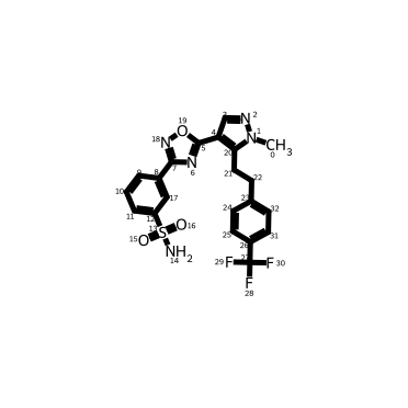 Cn1ncc(-c2nc(-c3cccc(S(N)(=O)=O)c3)no2)c1CCc1ccc(C(F)(F)F)cc1